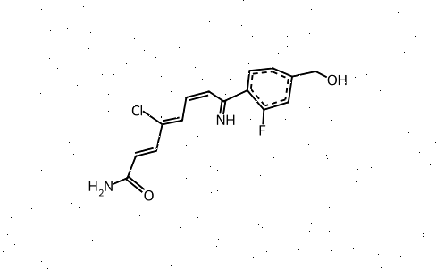 N=C(\C=C/C=C(Cl)/C=C/C(N)=O)c1ccc(CO)cc1F